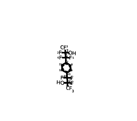 OC(F)(C(F)(F)F)C(F)(F)c1ccc(C(F)(F)C(O)(F)C(F)(F)F)cc1